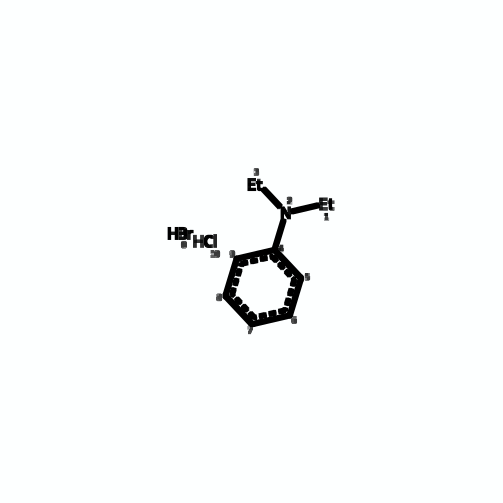 Br.CCN(CC)c1ccccc1.Cl